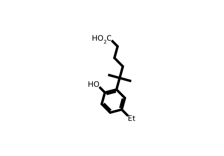 CCc1ccc(O)c(C(C)(C)CCCC(=O)O)c1